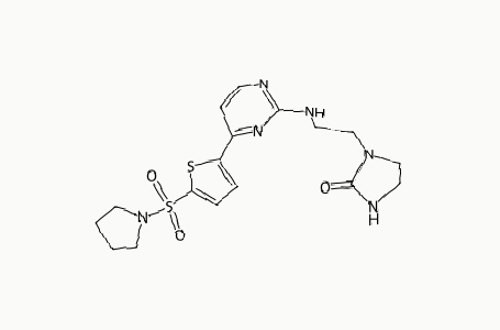 O=C1NCCN1CCNc1nccc(-c2ccc(S(=O)(=O)N3CCCC3)s2)n1